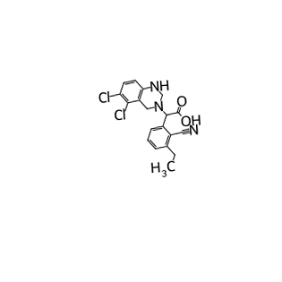 CCc1cccc(C(C(=O)O)N2CNc3ccc(Cl)c(Cl)c3C2)c1C#N